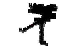 CCCCCCCCCCCCC/C=C/[C@@H](O)[C@H](CO[C@@H]1OC(CO)[C@@H](O[C@@H]2OC(CO)[C@H](O)[C@H](O[C@]3(C(=O)O)CC(O)[C@@H](NC(C)=O)C([C@H](O)[C@@H](CO)O[C@]4(C(=O)O)CC(O)[C@@H](NC(C)=O)C([C@H](O)[C@@H](CO)O[C@]5(C(=O)O)CC(O)[C@@H](NC(C)=O)C([C@H](O)[C@H](O)CO)O5)O4)O3)C2O)[C@H](O)C1O)NC(=O)CCCCCCCCCCCCCCCCC